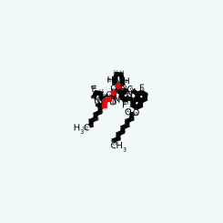 C#Cc1c(F)ccc2cc(OC(=O)CCCCCCCCC)cc(-c3ncc4c(N5C[C@@H]6CC[C@@H](C5)N6C(=O)OCOC(=O)CCCCCCCCC)nc(OC[C@@]56CCCN5C[C@@H](F)C6)nc4c3F)c12